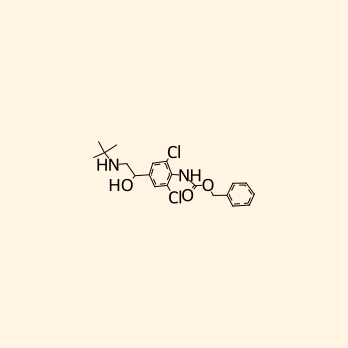 CC(C)(C)NCC(O)c1cc(Cl)c(NC(=O)OCc2ccccc2)c(Cl)c1